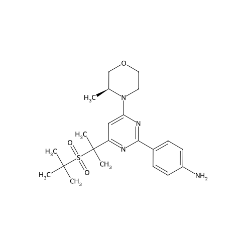 C[C@H]1COCCN1c1cc(C(C)(C)S(=O)(=O)C(C)(C)C)nc(-c2ccc(N)cc2)n1